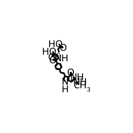 CNc1cc2[nH]cc(CCc3ccc(C(=O)N[C@@H](CCC(=O)O)C(=O)O)cc3)c2c(=O)[nH]1